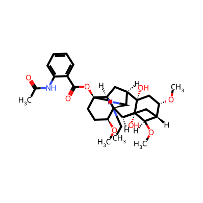 CCN1C[C@]2(OC(=O)c3ccccc3NC(C)=O)CC[C@H](OC)[C@]34C1[C@@H](C[C@H]23)[C@@]1(O)C[C@H](OC)[C@H]2C[C@@H]4[C@]1(O)[C@@H]2OC